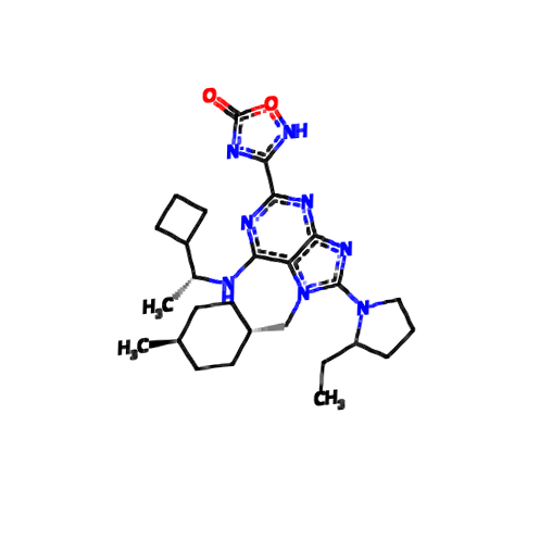 CCC1CCCN1c1nc2nc(-c3nc(=O)o[nH]3)nc(N[C@H](C)C3CCC3)c2n1C[C@H]1CC[C@H](C)CC1